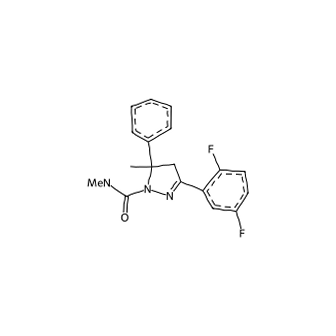 CNC(=O)N1N=C(c2cc(F)ccc2F)CC1(C)c1ccccc1